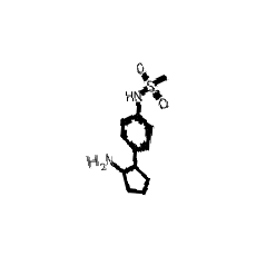 CS(=O)(=O)Nc1ccc(C2CCCC2N)cc1